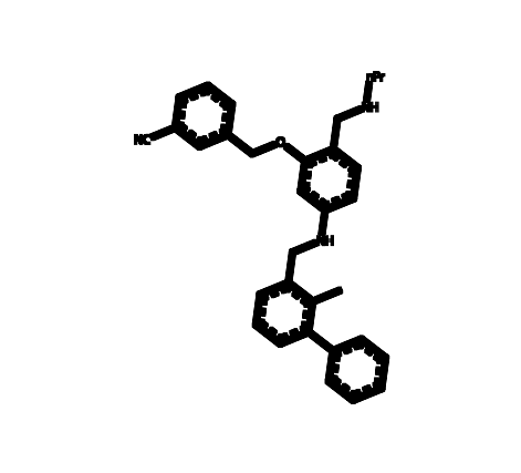 CCCNCc1ccc(NCc2cccc(-c3ccccc3)c2C)cc1OCc1cccc(C#N)c1